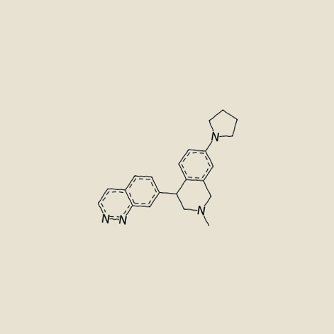 CN1Cc2cc(N3CCCC3)ccc2C(c2ccc3ccnnc3c2)C1